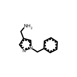 NCc1cnn(Cc2ccccc2)c1